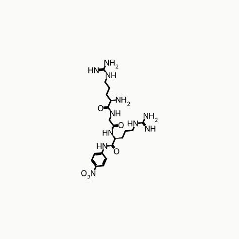 N=C(N)NCCC[C@@H](N)C(=O)NCC(=O)N[C@@H](CCCNC(=N)N)C(=O)Nc1ccc([N+](=O)[O-])cc1